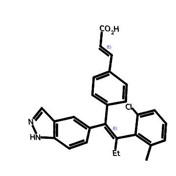 CC/C(=C(/c1ccc(/C=C/C(=O)O)cc1)c1ccc2[nH]ncc2c1)c1c(C)cccc1Cl